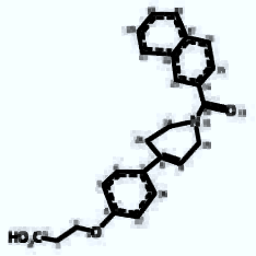 O=C(O)CCOc1ccc(C2=CCN(C(=O)c3ccc4ccccc4c3)CC2)cc1